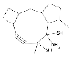 CC1CCC2CC3CCC3C#CC(C)(S)C(N)(S)C12